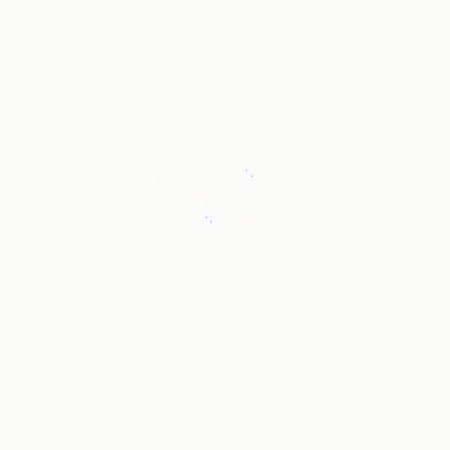 Cl.O=C(NCCCc1ccccc1)c1c(O)c(-c2ccccc2)nc2ccccc12